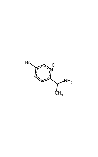 CC(N)c1ccc(Br)cn1.Cl